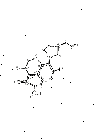 CNC[C@@H]1CCN(c2c(F)cc3cc(C(=O)O)c(=O)n4c3c2OC[C@@H]4C)C1